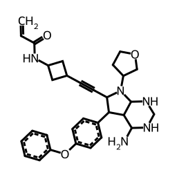 C=CC(=O)NC1CC(C#CC2C(c3ccc(Oc4ccccc4)cc3)C3C(N)NCNC3N2C2CCOC2)C1